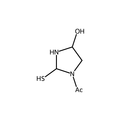 CC(=O)N1CC(O)NC1S